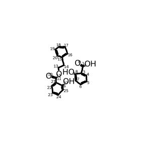 O=C(O)c1ccccc1O.O=C(OCCc1ccccc1)c1ccccc1O